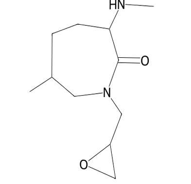 CNC1CCC(C)CN(CC2CO2)C1=O